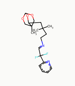 CC(C)(CCN=CC(F)(F)c1ccccn1)CC1OC2OCC1(C)CO2